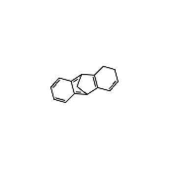 C1=CC2=C(CC1)C1=c3ccccc3=C2C1